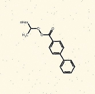 CCCCCC[C](C)OOC(=O)c1ccc(-c2ccccc2)cc1